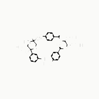 C[C@@H]1NC(C)(C)CO[C@@]1(O)c1cccc(Cl)c1.Cc1ccc(C(=O)O[C@@H](C(=O)O)[C@@H](OC(=O)c2ccc(C)cc2)C(=O)O)cc1